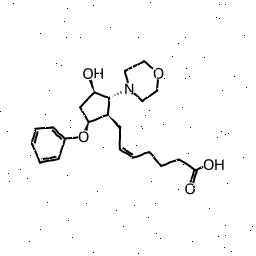 O=C(O)CCC/C=C\C[C@@H]1[C@@H](N2CCOCC2)[C@H](O)C[C@@H]1Oc1ccccc1